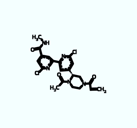 C=CC(=O)N1CCN(C(C)=O)[C@H](c2cc(Cl)nc(-c3cc(C(=O)NC)cc(Cl)n3)c2)C1